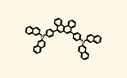 c1ccc2cc(N(c3ccc(-c4cc5cc(-c6ccc(N(c7ccc8ccccc8c7)c7ccc8ccccc8c7)cc6)c6ccccc6c5c5ccccc45)cc3)c3ccc4ccccc4c3)ccc2c1